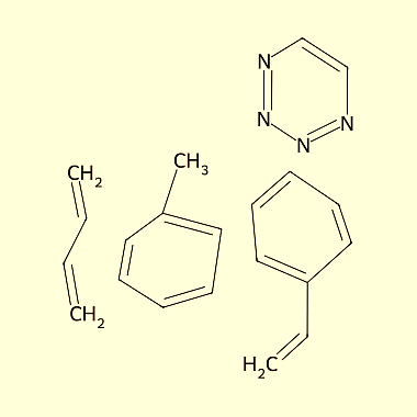 C=CC=C.C=Cc1ccccc1.Cc1ccccc1.c1cnnnn1